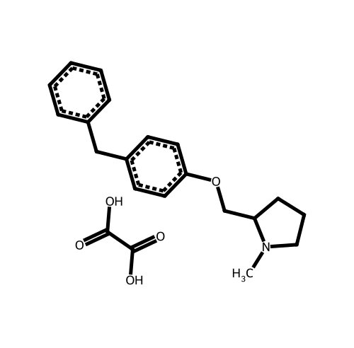 CN1CCCC1COc1ccc(Cc2ccccc2)cc1.O=C(O)C(=O)O